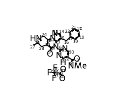 CNC(=O)c1cnc(-n2c(=O)c3c(n4ncc(Cc5ccccc5)c24)CNC(C)C3)nc1.O=C(O)C(F)(F)F